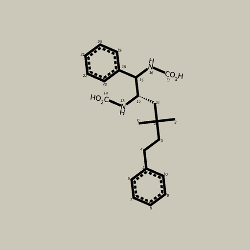 CC(C)(CCc1ccccc1)C[C@H](NC(=O)O)C(NC(=O)O)c1ccccc1